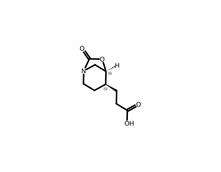 O=C(O)CC[C@H]1CCN2C[C@H]1OC2=O